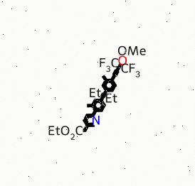 CCOC(=O)Cc1ccc(-c2ccc(C(CC)(CC)c3ccc(C#CC(OCOC)(C(F)(F)F)C(F)(F)F)c(C)c3)cc2C)nc1